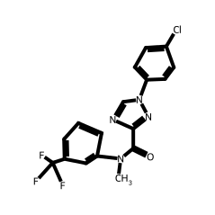 CN(C(=O)c1ncn(-c2ccc(Cl)cc2)n1)c1cccc(C(F)(F)F)c1